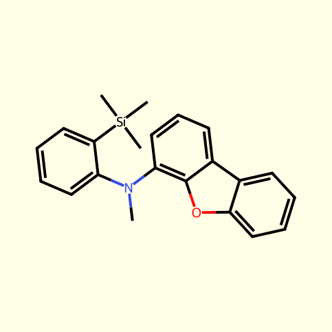 CN(c1ccccc1[Si](C)(C)C)c1cccc2c1oc1ccccc12